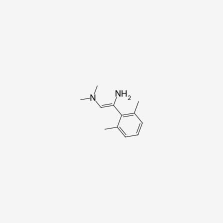 Cc1cccc(C)c1/C(N)=C/N(C)C